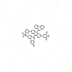 Fc1ccc2c(c1)cc(-c1c3ccc(-c4cc(F)c(F)c(F)c4)cc3c(-c3cc4ccccc4c4ccccc34)c3ccc(-c4cccc(C(F)(F)F)c4)cc13)c1ccccc12